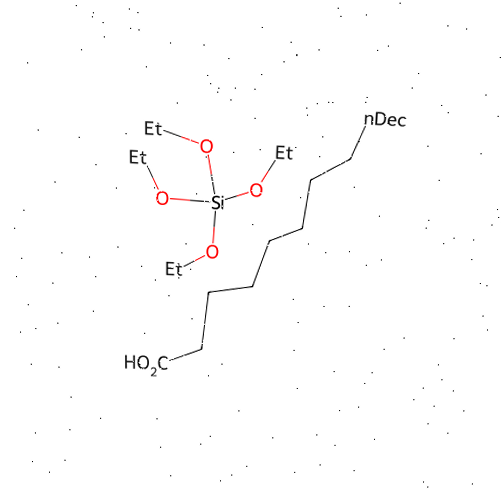 CCCCCCCCCCCCCCCCCC(=O)O.CCO[Si](OCC)(OCC)OCC